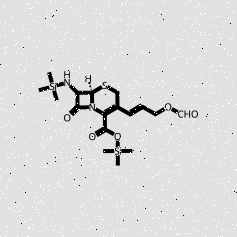 C[Si](C)(C)NC1C(=O)N2C(C(=O)O[Si](C)(C)C)=C(/C=C/COC=O)CS[C@H]12